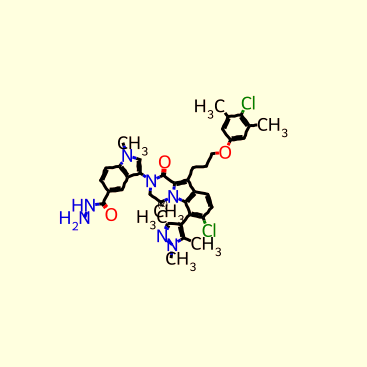 Cc1cc(OCCCc2c3n(c4c(-c5c(C)nn(C)c5C)c(Cl)ccc24)[C@H](C)CN(c2cn(C)c4ccc(C(=O)NN)cc24)C3=O)cc(C)c1Cl